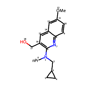 CCCN(CC1CC1)c1nc2ccc(OC)cc2cc1CO